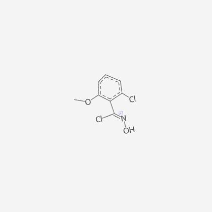 COc1cccc(Cl)c1/C(Cl)=N/O